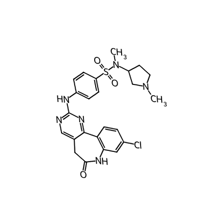 CN1CCC(N(C)S(=O)(=O)c2ccc(Nc3ncc4c(n3)-c3ccc(Cl)cc3NC(=O)C4)cc2)C1